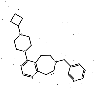 c1cncc(CN2CCc3ncnc(N4CCN(C5CCC5)CC4)c3CC2)c1